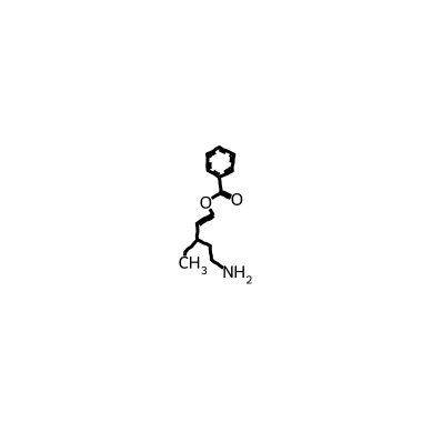 CCC(C=COC(=O)c1ccccc1)CCN